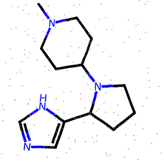 CN1CCC(N2CCCC2c2cnc[nH]2)CC1